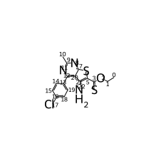 CCOC(=S)c1sc2nc(C)nc(-c3ccc(Cl)cc3)c2c1N